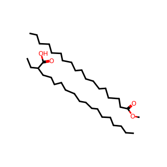 CCCCCCCCCCCCCCCCC(CC)C(=O)O.CCCCCCCCCCCCCCCCCC(=O)OC